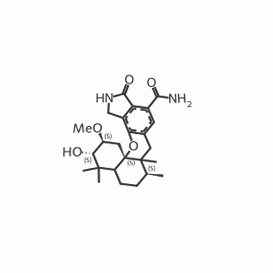 CO[C@H]1C[C@@]23Oc4c(cc(C(N)=O)c5c4CNC5=O)CC2(C)[C@@H](C)CCC3C(C)(C)[C@@H]1O